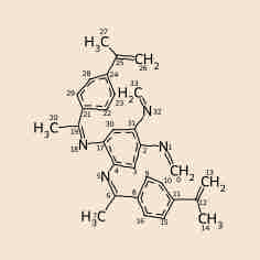 C=Nc1cc(N=C(C)c2ccc(C(=C)C)cc2)c(N=C(C)c2ccc(C(=C)C)cc2)cc1N=C